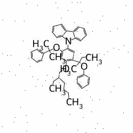 CCCCC(CC)COc1cc(OC(C)(C)c2ccccc2)c(-n2c3ccccc3c3ccccc32)cc1C(C)(CC)Oc1ccccc1